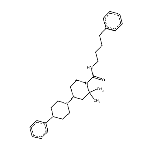 CC1(C)CC(N2CCC(c3ccccc3)CC2)CCN1C(=O)NCCCCc1ccccc1